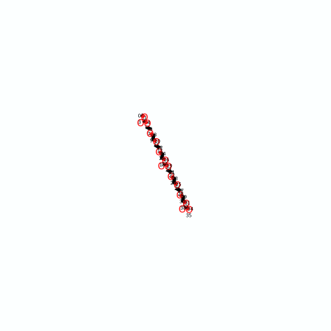 COC(=O)OCCOCCOCCOCCOC(=O)OCCOCCOCCOCCOC(=O)OC